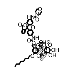 CCCCCCCCOc1cc(COC(=O)Nc2ccc3c(c2)Oc2cc(NC(=O)N4CCOCC4)ccc2C32OC(=O)c3ccccc32)ccc1OP(=O)(O)O[C@@H]1[C@H](O)[C@H](O)[C@@H](OO)C(OP(=O)(O)O)[C@H]1O